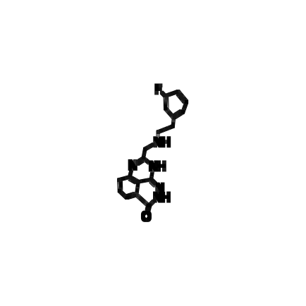 O=c1[nH]nc2c3c(cccc13)N=C(CNCCc1cccc(F)c1)N2